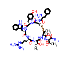 C[C@@H](O)[C@H](NC(=O)[C@H]1NC(=O)[C@H]([C@@H](C)O)NC(=O)[C@H](CCCN=C(N)N)NC(=O)[C@H](Cc2c[nH]c3ccccc23)NC(=O)[C@H](Cc2ccc(O)cc2)NC(=O)[C@@H](NC(=O)[C@@H](N)Cc2ccccc2)CSSC1(C)C)C(N)=O